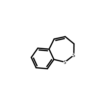 C1=Cc2ccccc2SSC1